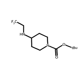 CC(C)(C)OC(=O)N1CCC(NCC(F)(F)F)CC1